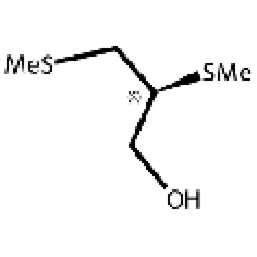 CSC[C@H](CO)SC